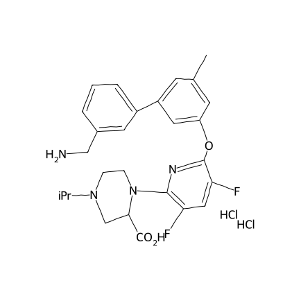 Cc1cc(Oc2nc(N3CCN(C(C)C)CC3C(=O)O)c(F)cc2F)cc(-c2cccc(CN)c2)c1.Cl.Cl